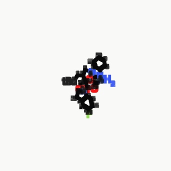 CC(C)(C)CC(Cn1cnc2ccccc21)[C@](CO)(CN1CCc2cc(F)ccc21)OC(N)=O